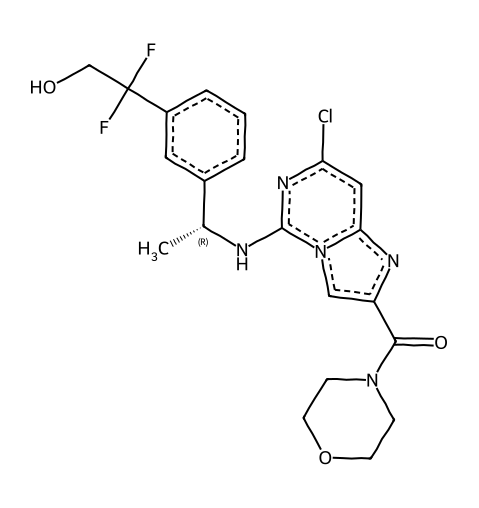 C[C@@H](Nc1nc(Cl)cc2nc(C(=O)N3CCOCC3)cn12)c1cccc(C(F)(F)CO)c1